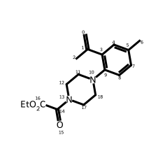 C=C(C)c1cc(C)ccc1N1CCN(C(=O)C(=O)OCC)CC1